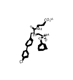 O=C(O)CCNC(=O)[C@H](Cc1ccc(-c2ccc(Cl)cc2)cc1)NCP(=O)(O)Oc1ccccc1